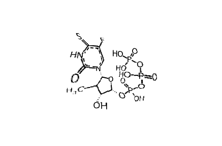 CC1[C@@H](O)[C@@H](OP(=O)(O)OP(=O)(O)OP(=O)(O)O)O[C@H]1n1cc(F)c(=S)[nH]c1=O